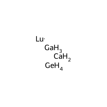 [CaH2].[GaH3].[GeH4].[Lu]